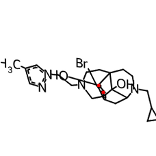 Cc1cnn(CCN2CCC34CCN(CC5CC5)C(Cc5ccc(O)c(Br)c53)C4(O)CC2)c1